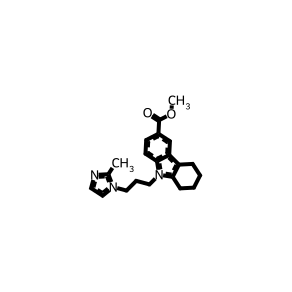 COC(=O)c1ccc2c(c1)c1c(n2CCCn2ccnc2C)CCCC1